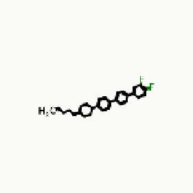 CCCCCC1CCC(C2CCC(c3ccc(-c4ccc(F)c(F)c4)cc3)CC2)CC1